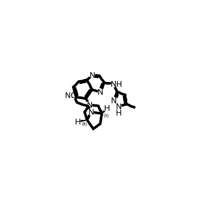 Cc1cc(Nc2cnc3cccc(N4C[C@H]5CC[C@@H](C4)N5CCC#N)c3n2)n[nH]1